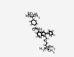 CC(NC(=O)O)[C@H]1CC[C@H](C(=O)Nc2ccnc3c2cc(-n2cccn2)n3COCC[Si](C)(C)C)CC1